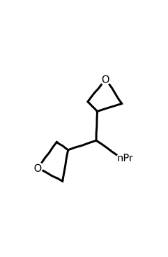 CCCC(C1COC1)C1COC1